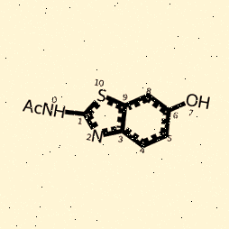 CC(=O)Nc1nc2ccc(O)cc2s1